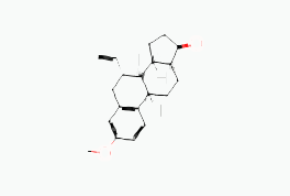 C=C[C@@H]1Cc2cc(OC)ccc2[C@H]2CC[C@]3(C)C(=O)CC[C@H]3[C@H]12